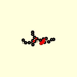 c1ccc(C2(c3ccc(-c4cccc5c4sc4cc(-c6ccccc6N(c6ccc(-c7cccc(-c8ccc9ccccc9c8)c7)cc6)c6ccc(-c7ccc8oc9ccccc9c8c7)cc6)ccc45)cc3)c3ccccc3-c3c(N(c4cccc(-c5ccc6ccccc6c5)c4)c4ccccc4-c4ccc5c(c4)sc4ccccc45)cccc32)cc1